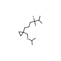 CC(C)OCC1(CCCC(F)(F)C(C)C)CC1